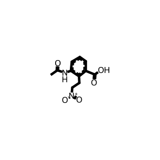 CC(=O)Nc1cccc(C(=O)O)c1CC[N+](=O)[O-]